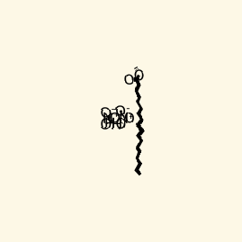 CCCCCCCCC=CCCCCCCCC(=O)OC.O=[N+]([O-])O.O=[N+]([O-])O